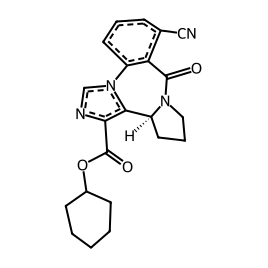 N#Cc1cccc2c1C(=O)N1CCC[C@H]1c1c(C(=O)OC3CCCCC3)ncn1-2